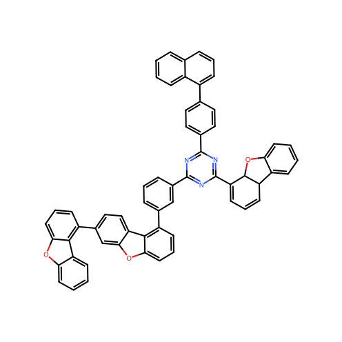 C1=CC2c3ccccc3OC2C(c2nc(-c3ccc(-c4cccc5ccccc45)cc3)nc(-c3cccc(-c4cccc5oc6cc(-c7cccc8oc9ccccc9c78)ccc6c45)c3)n2)=C1